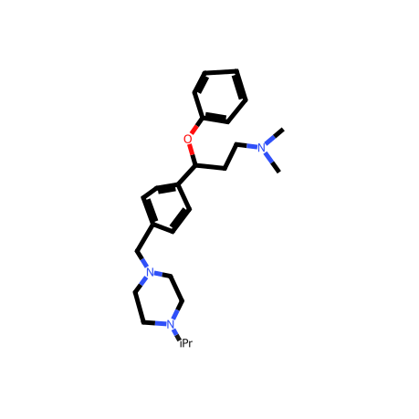 CC(C)N1CCN(Cc2ccc(C(CCN(C)C)Oc3ccccc3)cc2)CC1